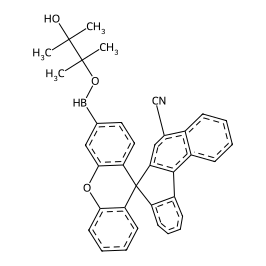 CC(C)(O)C(C)(C)OBc1ccc2c(c1)Oc1ccccc1C21c2ccccc2-c2c1cc(C#N)c1ccccc21